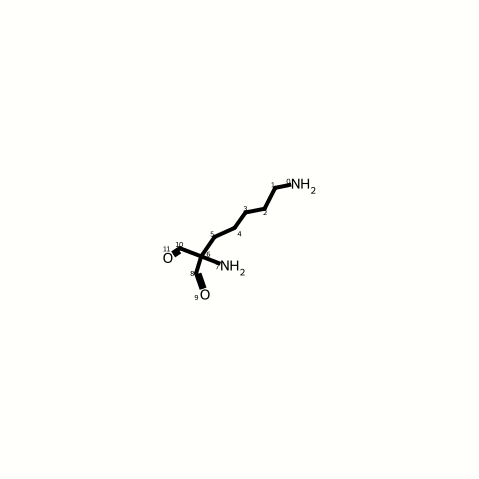 NCCCCCC(N)(C=O)C=O